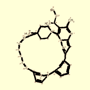 Cc1nc2cc3nn2c(c1[C@H](OC(C)(C)C)C(=O)O)N1CCC(C)(CC1)OCCCCCc1ccn(n1)-c1cccc-3c1